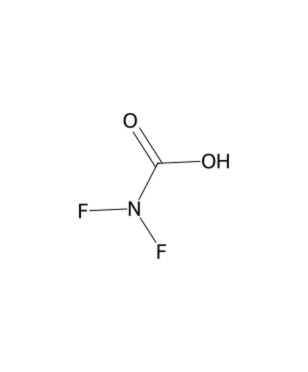 O=C(O)N(F)F